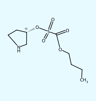 CCCCOC(=O)S(=O)(=O)O[C@H]1CCNC1